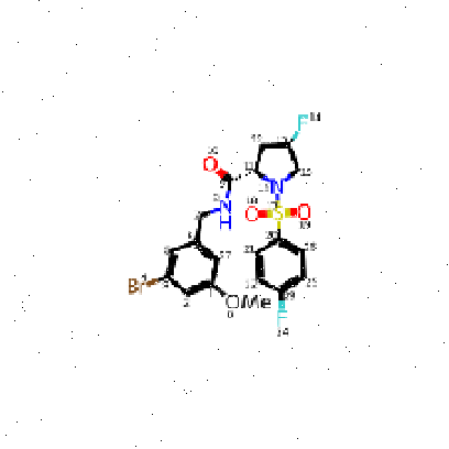 COc1cc(Br)cc(CNC(=O)[C@@H]2C[C@@H](F)CN2S(=O)(=O)c2ccc(F)cc2)c1